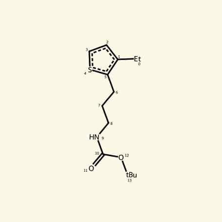 CCc1ccsc1CCCNC(=O)OC(C)(C)C